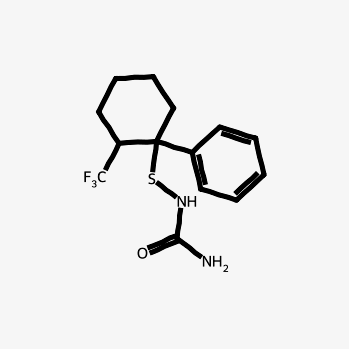 NC(=O)NSC1(c2ccccc2)CCCCC1C(F)(F)F